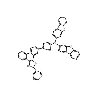 c1ccc(C2Nc3c(c4cc(-c5ccc(N(c6ccc7c(c6)oc6ccccc67)c6ccc7c(c6)oc6ccccc67)cc5)ccc4c4ccccc34)O2)cc1